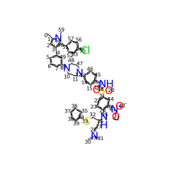 Cc1cc(-c2cccc(N3CCN(c4ccc(NS(=O)(=O)c5ccc(NC(CCN(C)C)CSc6ccccc6)c([N+](=O)[O-])c5)cc4)CC3)c2)c(-c2ccc(Cl)cc2)n1C